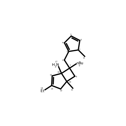 CCCCC1(CC2=CC=CC2C)CC2(C)CC(CC)=CC21N